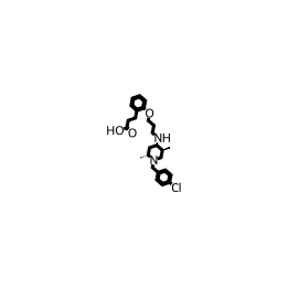 C[C@@H]1C[C@H](NCCCOc2ccccc2CCC(=O)O)[C@@H](C)CN1Cc1ccc(Cl)cc1